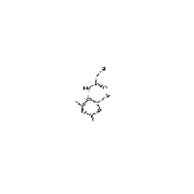 Cc1cc(C)c(NC(=O)CCl)c(Br)c1